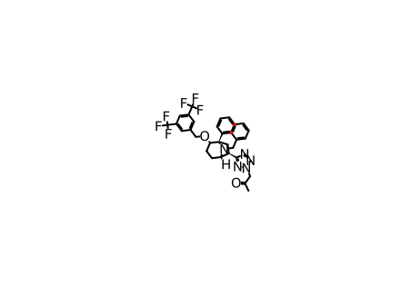 CC(=O)Cn1nnc([C@@H]2C[C@@]3(c4ccccc4)[C@H](OCc4cc(C(F)(F)F)cc(C(F)(F)F)c4)CC[C@@H]2N3Cc2ccccc2)n1